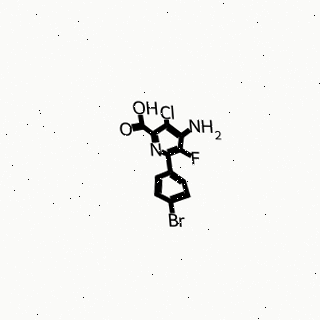 Nc1c(F)c(-c2ccc(Br)cc2)nc(C(=O)O)c1Cl